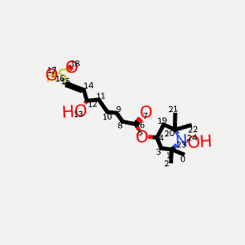 CC1(C)CC(OC(=O)CCCCC(O)/C=C/[SH](=O)=O)CC(C)(C)N1O